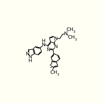 Cc1cc2ccc(-c3nc(Nc4ccc5[nH]ncc5c4)c4ccn(CCN(C)C)c4n3)cc2s1